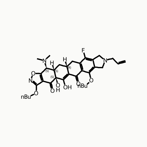 C=CCN1Cc2c(F)c3c(c(OCCCC)c2C1)C(=O)C1=C(O)[C@]2(O)C(=O)c4c(OCCCC)noc4[C@@H](N(C)C)[C@@H]2C[C@@H]1C3